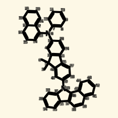 CC1(C)c2cc(N(c3ccccc3)c3cccc4ccccc34)ccc2-c2ccc(-n3c4ccccc4c4ccc5ccccc5c43)cc21